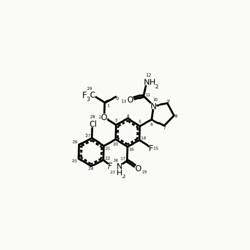 CC(Oc1cc(C2CCCN2C(N)=O)c(F)c(C(N)=O)c1-c1c(F)cccc1Cl)C(F)(F)F